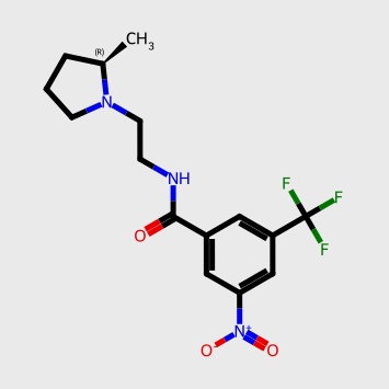 C[C@@H]1CCCN1CCNC(=O)c1cc([N+](=O)[O-])cc(C(F)(F)F)c1